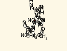 CN(C)C1CCN(CCOc2ccc(-c3nc(-c4cnn5ccccc45)nc(N[C@@H]4CCCN(C(=O)CC#N)C4)c3F)cc2)CC1.N#CC(C=O)N1CCC[C@@H](Nc2nc(-c3cnn4ccccc34)nc(-c3ccc(OCCN4CCCC4)cc3)c2F)C1.N#CCC(=O)N1CCC[C@@H](Nc2nc(-c3cnn4ccccc34)nc(-c3ccc(OC4CCNCC4)cc3)c2F)C1